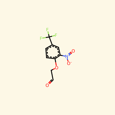 O=CCOc1ccc(C(F)(F)F)cc1[N+](=O)[O-]